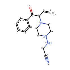 C=CC(C(=O)c1ccccc1)N1CCN(NCC#N)CC1